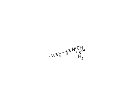 C.N#CC#N.S